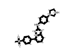 CS(=O)(=O)c1ccc(-c2cccc3nc(Nc4ccc(N5CCNC5)cc4)nn23)cc1